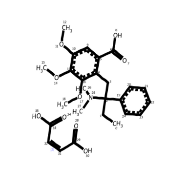 CCC(Cc1c(C(=O)O)cc(OC)c(OC)c1OC)(c1ccccc1)N(C)C.O=C(O)/C=C\C(=O)O